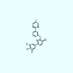 Cc1cnc(-c2cccc(Cn3nc(-c4cc(F)c(F)c(F)c4)ccc3=O)c2)nc1